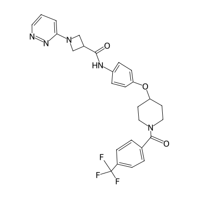 O=C(Nc1ccc(OC2CCN(C(=O)c3ccc(C(F)(F)F)cc3)CC2)cc1)C1CN(c2cccnn2)C1